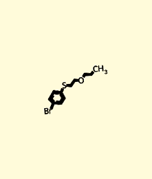 CCCOCCSc1ccc(Br)cc1